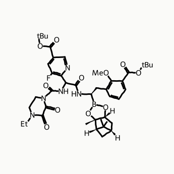 CCN1CCN(C(=O)NC(C(=O)N[C@@H](Cc2cccc(C(=O)OC(C)(C)C)c2OC)B2O[C@@H]3C[C@@H]4C[C@@H](C4(C)C)[C@]3(C)O2)c2ncc(C(=O)OC(C)(C)C)cc2F)C(=O)C1=O